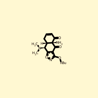 CCCCOc1noc2c1C(=O)[C@@]1(N)C(=O)C=CC[C@H]1[C@@H]2N(C)C